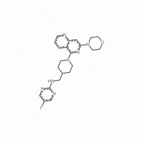 Fc1cnc(NCC2CCN(c3nc(N4CCOCC4)cc4ncccc34)CC2)nc1